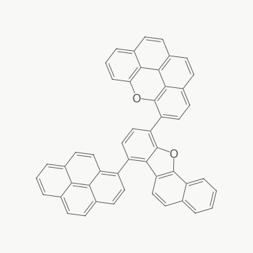 c1ccc2c(c1)ccc1c2oc2c(-c3ccc4ccc5ccc6cccc7c6c5c4c3O7)ccc(-c3ccc4ccc5cccc6ccc3c4c56)c21